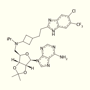 CC(C)N(C[C@H]1O[C@@H](n2cnc3c(N)ncnc32)[C@@H]2OC(C)(C)O[C@@H]21)C1CC(CCc2nc3cc(Cl)c(C(F)(F)F)cc3[nH]2)C1